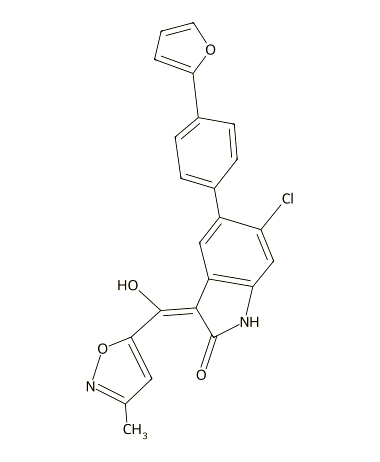 Cc1cc(/C(O)=C2\C(=O)Nc3cc(Cl)c(-c4ccc(-c5ccco5)cc4)cc32)on1